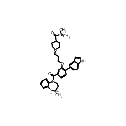 C[C@H]1CCN(C(=O)c2ccc(-c3ccc4[nH]ccc4c3)c(OCCCN3CCC(C(=O)N(C)C)CC3)c2)c2ccccc2N1